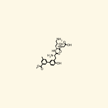 COC(=O)c1cc(C)cc(-c2ccc(O)c(C[C@H](N)C(=O)N[C@@H](C[C@@H](O)CN)C(=O)NCC(=O)O)c2)c1